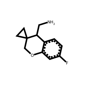 NCC1c2ccc(F)cc2OCC12CC2